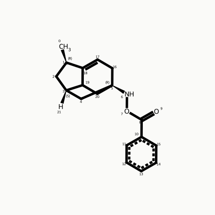 C[C@@H]1C[C@H]2C[C@]3(NOC(=O)c4ccccc4)CC=C1C2C3